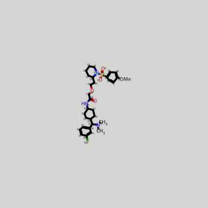 COc1ccc(S(=O)(=O)N2CCCCC2CCOCC(=O)NC2CCC(C(c3cccc(F)c3)N(C)C)CC2)cc1